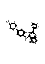 CC(=O)N1CCN(c2ccc(Nc3nc(-c4nccs4)nc4cn[nH]c34)cc2)CC1